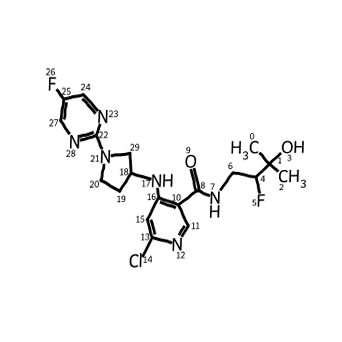 CC(C)(O)C(F)CNC(=O)c1cnc(Cl)cc1NC1CCN(c2ncc(F)cn2)C1